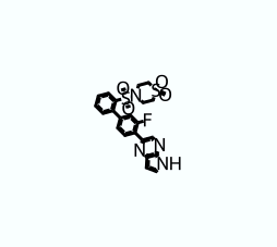 O=S1(=O)CCN(S(=O)(=O)c2ccccc2-c2ccc(-c3cnc4[nH]ccc4n3)c(F)c2)CC1